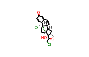 C[C@H]1C[C@H]2[C@@H]3C=CC4=CC(=O)C=C[C@]4(C)[C@@]3(Cl)[C@@H](Cl)C[C@]2(C)[C@@]1(O)C(=O)CCl